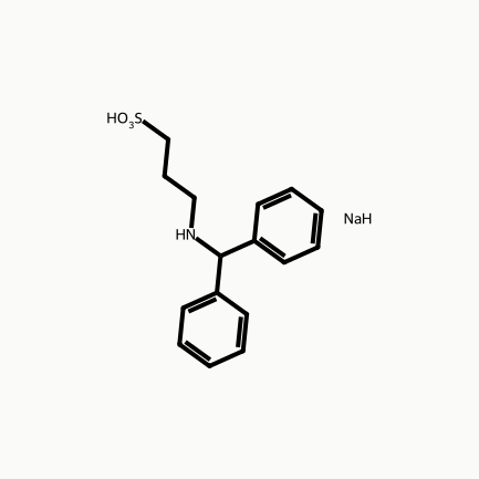 O=S(=O)(O)CCCNC(c1ccccc1)c1ccccc1.[NaH]